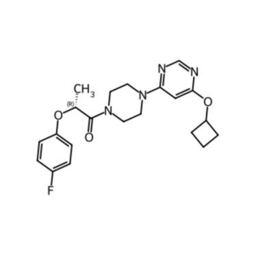 C[C@@H](Oc1ccc(F)cc1)C(=O)N1CCN(c2cc(OC3CCC3)ncn2)CC1